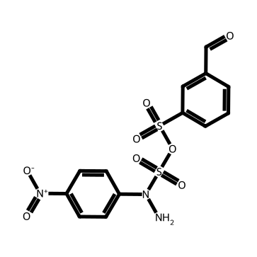 NN(c1ccc([N+](=O)[O-])cc1)S(=O)(=O)OS(=O)(=O)c1cccc(C=O)c1